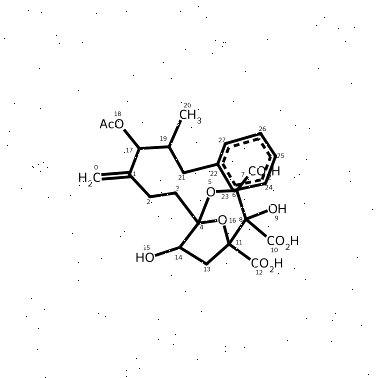 C=C(CCC12OC(C(=O)O)C(O)(C(=O)O)C(C(=O)O)(CC1O)O2)C(OC(C)=O)C(C)Cc1ccccc1